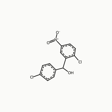 O=[N+]([O-])c1ccc(Cl)c(C(O)c2ccc(Cl)cc2)c1